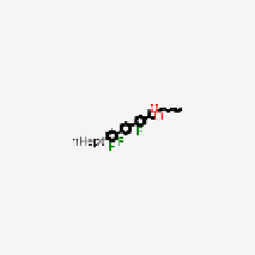 C/C=C/CCC1OCC(c2ccc(-c3ccc(-c4ccc(CCCCCCC)c(F)c4F)cc3)c(F)c2)CO1